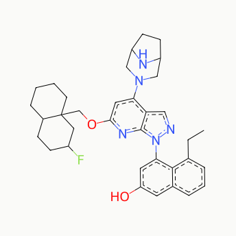 CCc1cccc2cc(O)cc(-n3ncc4c(N5CC6CCC(C5)N6)cc(OCC56CCCCC5CCC(F)C6)nc43)c12